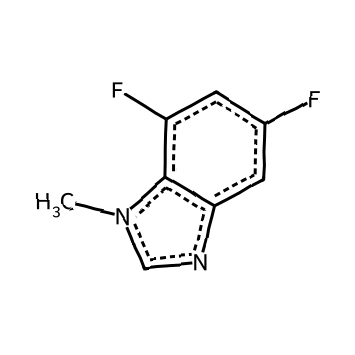 Cn1cnc2cc(F)cc(F)c21